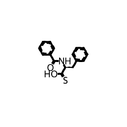 O=C(N[C@@H](Cc1ccccc1)C(O)=S)c1ccccc1